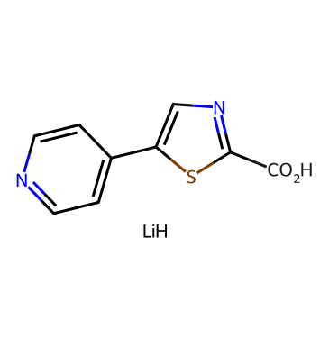 O=C(O)c1ncc(-c2ccncc2)s1.[LiH]